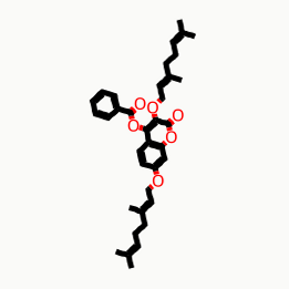 CC(C)=CCC/C(C)=C/COc1ccc2c(OC(=O)c3ccccc3)c(OC/C=C(\C)CCC=C(C)C)c(=O)oc2c1